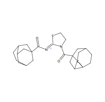 O=C(/N=C1\SCCN1C(=O)C12CC3CCC4(C1)C(C3)C4C2)C12CC3CCC(C1)C(C3)C2